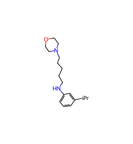 CC(C)c1cccc(NCCCCCN2CCOCC2)c1